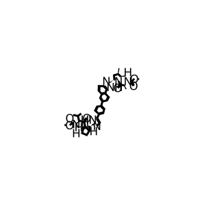 COC(=O)N[C@@H](C)C(=O)N1[C@H](C)[C@H](C)C[C@H]1c1nc2ccc3cc(-c4ccc(-c5cnc([C@@H]6[C@H]7CC[C@H](C7)N6C(=O)[C@@H](NC(=O)OC)C(C)C)[nH]5)cc4)ccc3c2[nH]1